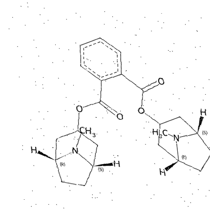 CN1[C@@H]2CC[C@H]1CC(OC(=O)c1ccccc1C(=O)OC1C[C@H]3CC[C@@H](C1)N3C)C2